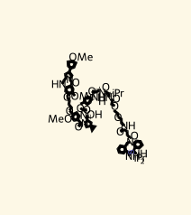 COc1ccc(C2=CN3C(=O)c4cc(OC)c(OCCCOc5cc6c(cc5OC)C(=O)N5CC7(CC7)CC5[C@H](O)N6C(=O)OCc5ccc(NC(=O)[C@H](C)NC(=O)[C@@H](NC(=O)COCCOCCNC(=O)CCC(=O)N6Cc7ccccc7/C(N)=C(/NC(C)C)c7ccccc76)C(C)C)cc5)cc4NCC3C2)cc1